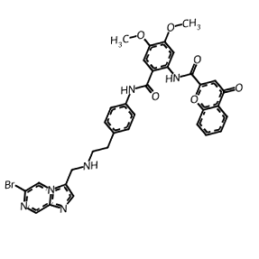 COc1cc(NC(=O)c2cc(=O)c3ccccc3o2)c(C(=O)Nc2ccc(CCNCc3cnc4cnc(Br)cn34)cc2)cc1OC